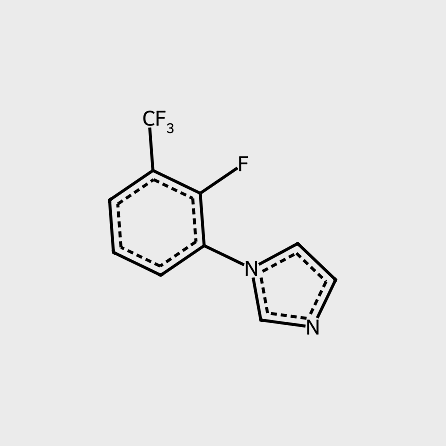 Fc1c(-n2ccnc2)cccc1C(F)(F)F